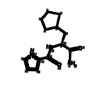 NC(=O)[C@H](CC1CCCC1)NC(=O)c1ccc[nH]1